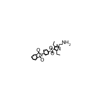 CCc1nn(CCN)c(CC)c1S(=O)(=O)c1ccc(N2C(=O)c3ccccc3C2=O)cc1